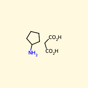 NC1CCCC1.O=C(O)CC(=O)O